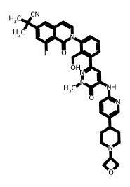 Cn1nc(-c2cccc(-n3ccc4cc(C(C)(C)C#N)cc(F)c4c3=O)c2CO)cc(Nc2ccc(C3CCN(C4COC4)CC3)cn2)c1=O